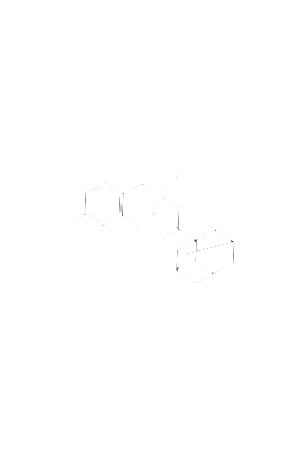 O=C(CS(=O)(=O)Cc1ccc(Cl)cc1Cl)C12CC3CC(CC(C3)C1)C2